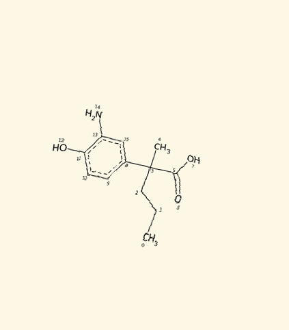 CCCC(C)(C(=O)O)c1ccc(O)c(N)c1